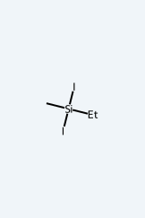 CC[Si](C)(I)I